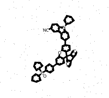 N#Cc1ccc2c(c1)c1cc(-c3ccc4c(c3)Oc3cc(-c5ccc(P(=O)(c6ccccc6)c6ccccc6)cc5)ccc3C43c4ccccc4-c4ccccc43)ccc1n2-c1ccccc1